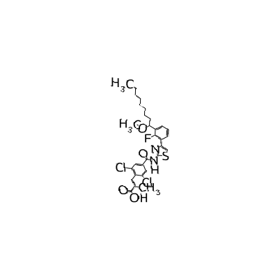 CCCCCCCCC(OC)c1cccc(-c2csc(NC(=O)c3cc(Cl)c(C=C(C)C(=O)O)c(Cl)c3)n2)c1F